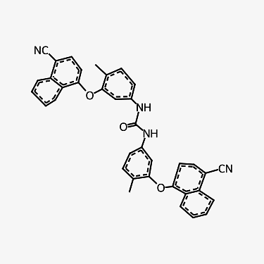 Cc1ccc(NC(=O)Nc2ccc(C)c(Oc3ccc(C#N)c4ccccc34)c2)cc1Oc1ccc(C#N)c2ccccc12